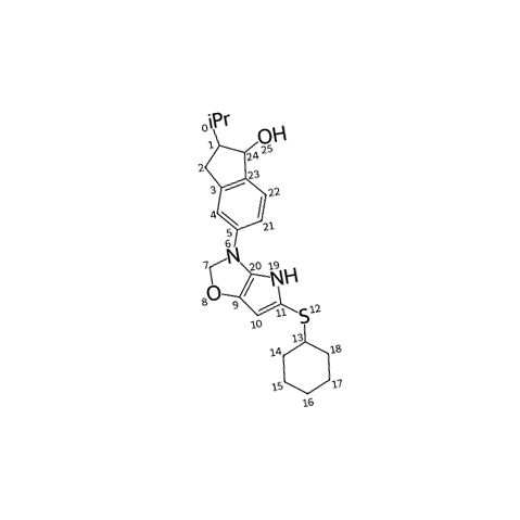 CC(C)C1Cc2cc(N3COc4cc(SC5CCCCC5)[nH]c43)ccc2C1O